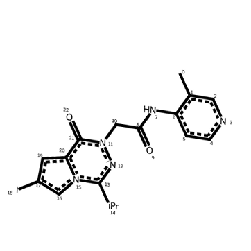 Cc1cnccc1NC(=O)Cn1nc(C(C)C)n2cc(I)cc2c1=O